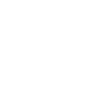 [CH2]C=CCSCC